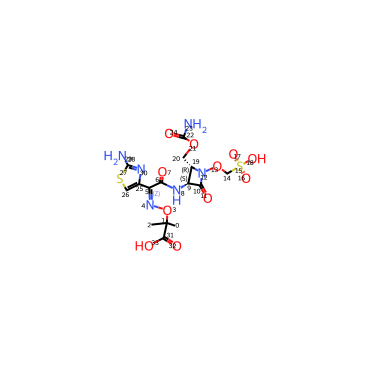 CC(C)(O/N=C(\C(=O)N[C@@H]1C(=O)N(OCS(=O)(=O)O)[C@H]1COC(N)=O)c1csc(N)n1)C(=O)O